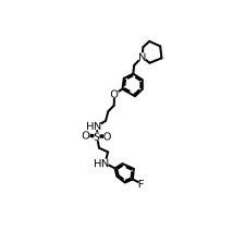 O=S(=O)(CCNc1ccc(F)cc1)NCCCOc1cccc(CN2CCCCC2)c1